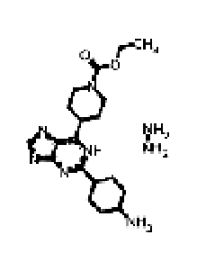 CCOC(=O)N1CCC(c2[nH]c(C3CCC(N)CC3)nc3ncnc2-3)CC1.NN